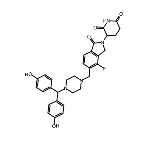 O=C1CCC(N2Cc3c(ccc(CN4CCN(C(c5ccc(O)cc5)c5ccc(O)cc5)CC4)c3F)C2=O)C(=O)N1